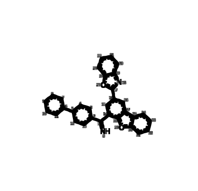 N=C(c1ccc(-c2ccccc2)cc1)c1cc(-c2nc3ccccc3o2)cc2c1oc1ccccc12